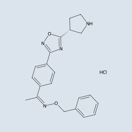 CC(=NOCc1ccccc1)c1ccc(-c2noc([C@@H]3CCNC3)n2)cc1.Cl